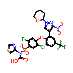 O=C(O)N(c1cscn1)S(=O)(=O)c1cc(Cl)c(Oc2ccc(C(F)(F)F)cc2-c2cn(C3CCCCO3)nc2[N+](=O)[O-])cc1F